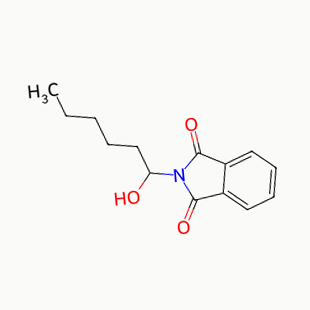 CCCCCC(O)N1C(=O)c2ccccc2C1=O